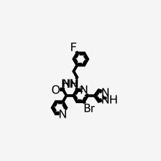 NC(=O)C(c1cccnc1)c1cc(Br)c(-c2cn[nH]c2)nc1NCCc1cccc(F)c1